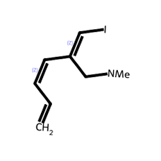 C=C/C=C\C(=C\I)CNC